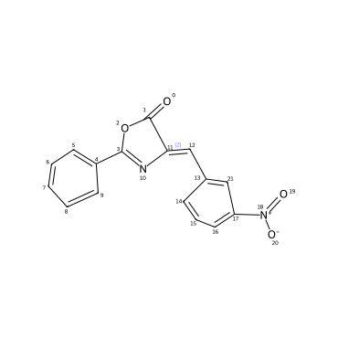 O=C1OC(c2ccccc2)=N/C1=C\c1cccc([N+](=O)[O-])c1